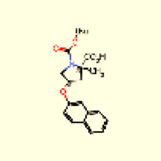 CC(C)(C)OC(=O)N1C[C@@H](Oc2ccc3ccccc3c2)C[C@@]1(C)C(=O)O